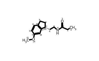 CCC(=O)NCC[C@H]1CCc2ccc(OC)cc21